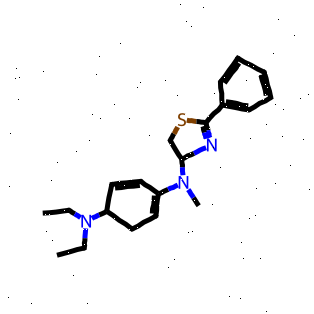 CCN(CC)C1C=CC(N(C)C2CSC(c3ccccc3)=N2)=CC1